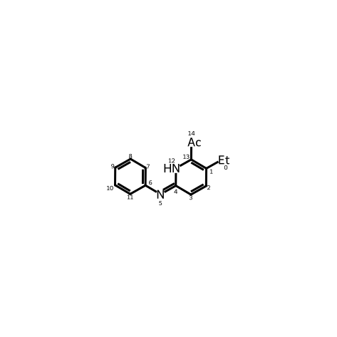 CCc1ccc(=Nc2ccccc2)[nH]c1C(C)=O